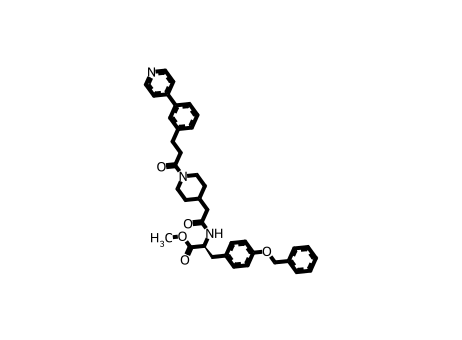 COC(=O)[C@H](Cc1ccc(OCc2ccccc2)cc1)NC(=O)CC1CCN(C(=O)CCc2cccc(-c3ccncc3)c2)CC1